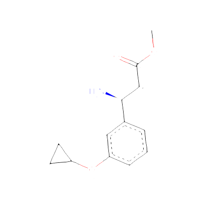 COC(=O)C[C@H](N)c1cccc(OC2CC2)c1